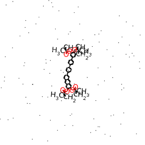 C=C(C)C(=C)Oc1ccc(-c2ccc(-c3ccc(-c4ccc5cc6cc(OC(=O)C(=C)C)c(OC(=O)C(=C)C)cc6cc5c4)cc3)cc2)cc1OC(=O)C(=C)C